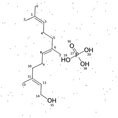 CC(C)=CCCC(C)=CCCC(C)=CCO.O=P(O)(O)O